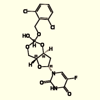 O=c1[nH]c(=O)n([C@H]2C[C@@H]3O[PH](O)(OCc4c(Cl)cccc4Cl)OC[C@H]3O2)cc1F